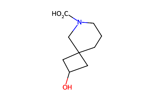 O=C(O)N1CCCC2(CC(O)C2)C1